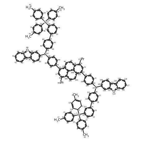 CC1=CCC([Si](c2ccc(C)cc2)(c2ccc(C)cc2)c2cccc(-c3ccc(N(c4ccc(-c5cc(C(C)C)c6ccc7c(-c8ccc(N(c9ccc(-c%10cccc([Si](c%11ccc(C)cc%11)(c%11ccc(C)cc%11)c%11ccc(C)cc%11)c%10)cc9)c9ccc%10c(c9)oc9ccccc9%10)cc8)cc(C(C)C)c8ccc5c6c78)cc4)c4ccc5c(c4)oc4ccccc45)cc3)c2)C=C1